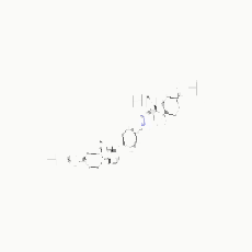 Cc1ccc2c(c1)N[C](/C=C/c1ccc(-c3nc4cc(C)ccc4o3)cc1)O2